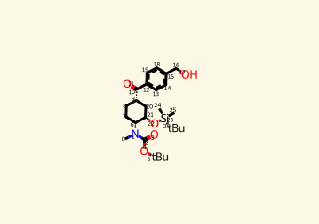 CN(C(=O)OC(C)(C)C)[C@@H]1CC[C@H](C(=O)c2ccc(CO)cc2)C[C@H]1O[Si](C)(C)C(C)(C)C